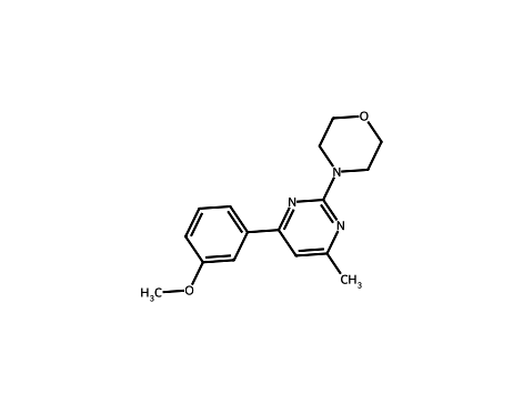 COc1cccc(-c2cc(C)nc(N3CCOCC3)n2)c1